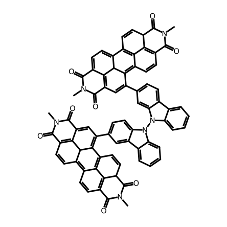 CN1C(=O)C2=CC(c3ccc4c(c3)c3ccccc3n4-n3c4ccccc4c4ccc(C5=CC6=C7C(=CC=C8C9=c%10c%11c(ccc%10=C5C87)C(=O)N(C)C(=O)C%11C=C9)C(=O)N(C)C6=O)cc43)=C3C4=c5c6c(ccc5=C5C=CC(=C2C35)C1=O)C(=O)N(C)C(=O)C6C=C4